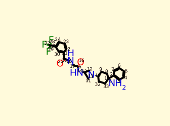 N[C@]1(c2ccccc2)CC[C@@H](N2CC(NC(=O)CNC(=O)c3cccc(C(F)(F)F)c3)C2)CC1